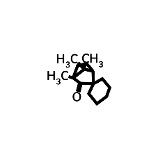 CC12CCC(C3(CCCCC3)C1=O)C2(C)C